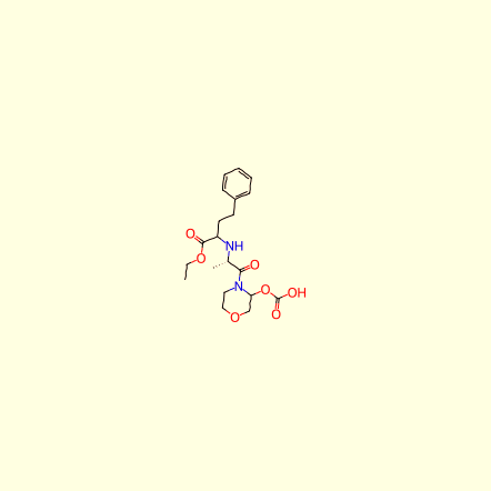 CCOC(=O)C(CCc1ccccc1)N[C@@H](C)C(=O)N1CCOCC1OC(=O)O